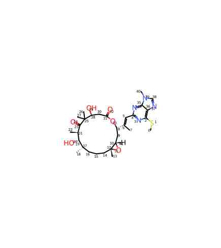 CSc1nc(/C=C(\C)[C@@H]2C[C@@H]3O[C@]3(C)CCC[C@H](C)[C@H](O)[C@@H](C)C(=O)C(C)(C)[C@@H](O)CC(=O)O2)nc2c1ncn2C